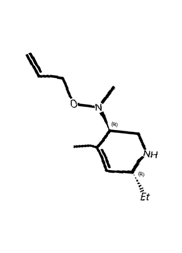 C=CCON(C)[C@H]1CN[C@H](CC)C=C1C